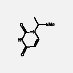 CNC(C)n1ccc(=O)[nH]c1=O